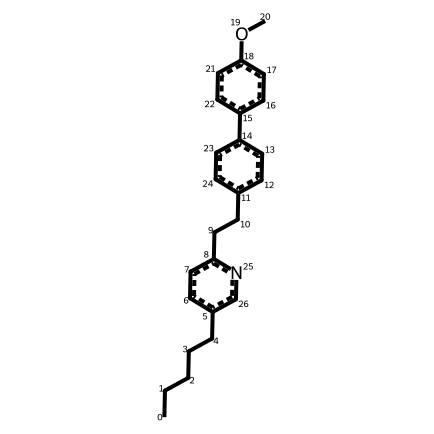 CCCCCc1ccc(CCc2ccc(-c3ccc(OC)cc3)cc2)nc1